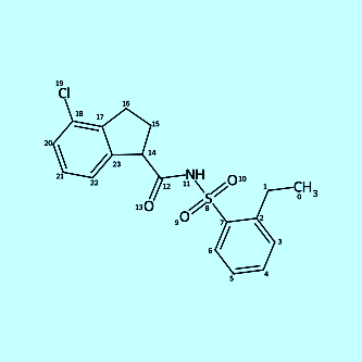 CCc1ccccc1S(=O)(=O)NC(=O)C1CCc2c(Cl)cccc21